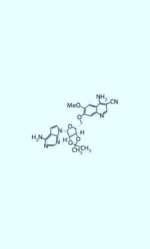 COc1cc2c(N)c(C#N)cnc2cc1OC[C@H]1O[C@@H](n2ccc3c(N)ncnc32)[C@@H]2OC(C)(C)O[C@@H]21